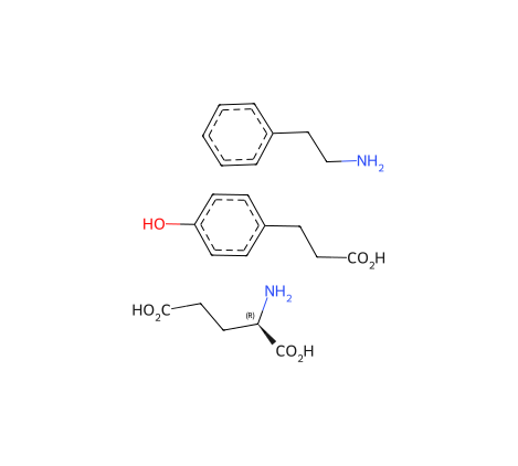 NCCc1ccccc1.N[C@H](CCC(=O)O)C(=O)O.O=C(O)CCc1ccc(O)cc1